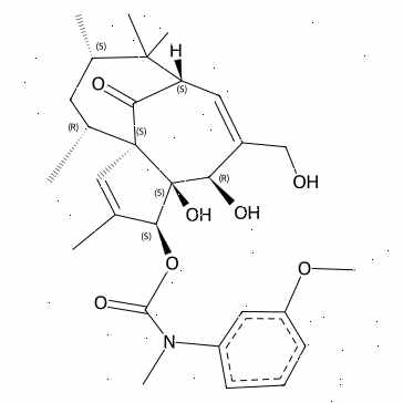 COc1cccc(N(C)C(=O)O[C@H]2C(C)=C[C@]34C(=O)[C@@H](C=C(CO)[C@@H](O)[C@]23O)C(C)(C)[C@@H](C)C[C@H]4C)c1